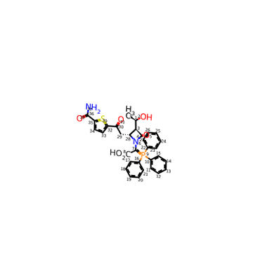 C[C@@H](O)[C@H]1C(=O)N(C(C(=O)O)=P(c2ccccc2)(c2ccccc2)c2ccccc2)[C@@H]1CC(=O)c1ccc(C(N)=O)s1